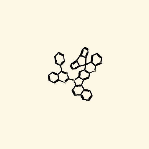 c1ccc(-c2nc(-n3c4cc5c(cc4c4c6ccccc6ccc43)Oc3ccccc3C53c4ccccc4-c4ccccc43)nc3ccccc23)cc1